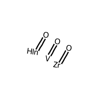 [O]=[InH].[O]=[V].[O]=[Zr]